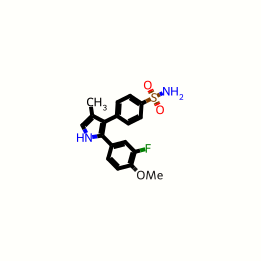 COc1ccc(-c2[nH]cc(C)c2-c2ccc(S(N)(=O)=O)cc2)cc1F